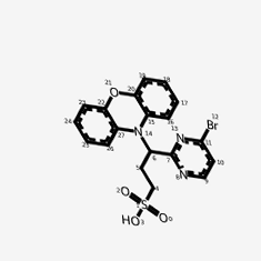 O=S(=O)(O)CCC(c1nccc(Br)n1)N1c2ccccc2Oc2ccccc21